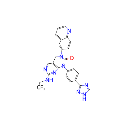 O=C1N(c2ccc3ncccc3c2)Cc2cnc(NCC(F)(F)F)nc2N1c1ccc(-c2nc[nH]n2)cc1